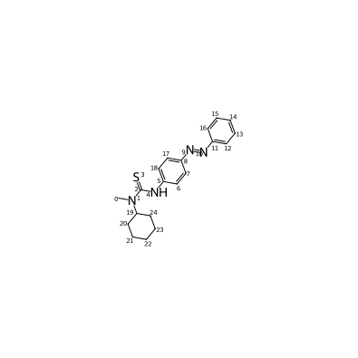 CN(C(=S)Nc1ccc(/N=N/c2ccccc2)cc1)C1CCCCC1